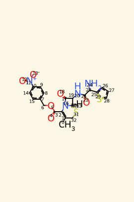 CC1=C(C(=O)OCc2ccc([N+](=O)[O-])cc2)N2C(=O)C(NC(=O)C(N)c3cccs3)[C@@H]2SC1